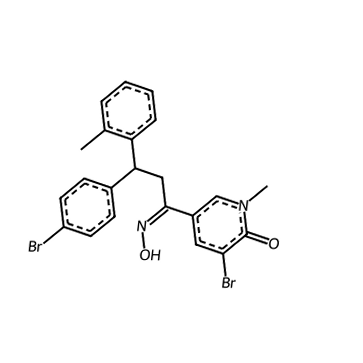 Cc1ccccc1C(CC(=NO)c1cc(Br)c(=O)n(C)c1)c1ccc(Br)cc1